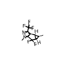 C[C@@H]1[C@@H]2c3c(C(F)(F)F)nn(C)c3C(F)(F)[C@H]12